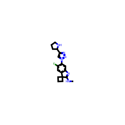 CNC1=Nc2cc(-n3cc(C4CCCN4)nn3)c(F)cc2C12CCC2